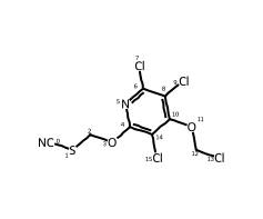 N#CSCOc1nc(Cl)c(Cl)c(OCCl)c1Cl